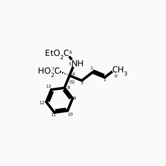 CC=CC[C@@](NC(=O)OCC)(C(=O)O)c1ccccc1